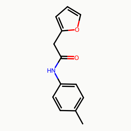 Cc1ccc(NC(=O)Cc2ccco2)cc1